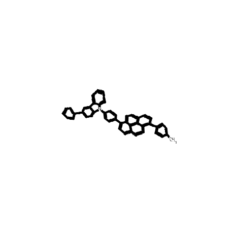 Cc1ccc(-c2ccc3ccc4c(-c5ccc(-n6c7ccccc7c7cc(-c8ccccc8)ccc76)cc5)ccc5ccc2c3c54)cc1